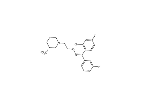 O=C(O)[C@@H]1CCCN(CCO/N=C(/c2cccc(F)c2)c2ccc(F)cc2Cl)C1